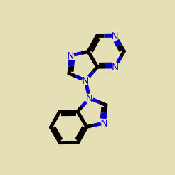 c1ccc2c(c1)ncn2-n1cnc2cncnc21